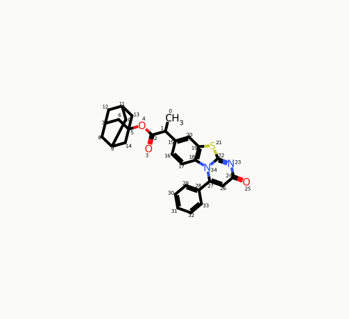 CC(C(=O)OC12CC3CC(CC(C3)C1)C2)c1ccc2c(c1)sc1nc(=O)cc(-c3ccccc3)n12